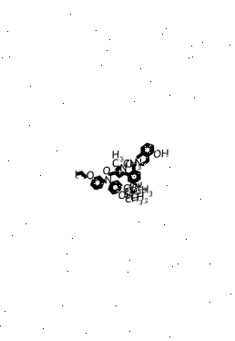 Cc1c(C(=O)N(c2ccc(O[Si](C)(C)C(C)(C)C)cc2)c2cccc(OCCI)c2)cc(-c2cc(Cl)ccc2C(=O)N2CCc3c(O)cccc3C2)n1C